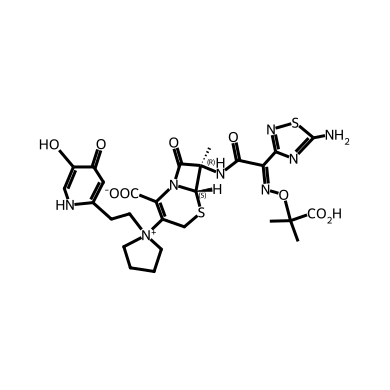 CC(C)(ON=C(C(=O)N[C@]1(C)C(=O)N2C(C(=O)[O-])=C([N+]3(CCc4cc(=O)c(O)c[nH]4)CCCC3)CS[C@H]21)c1nsc(N)n1)C(=O)O